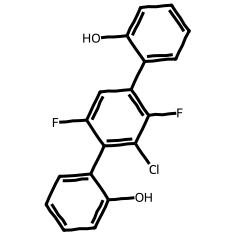 Oc1ccccc1-c1cc(F)c(-c2ccccc2O)c(Cl)c1F